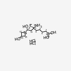 Cl.Cl.NC(CCCCB(O)O)(CCN1CC(O)C1)C(=O)O